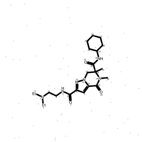 CCN(CC)CCNC(=O)c1cc2n(n1)CC(C)(C(=O)NC1CCCCC1)N(C)C2=O